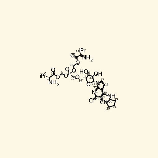 CC(C)[C@@H](N)C(=O)OCOP(=O)(COC[C@H]1O[C@@H](n2ccc3c(NC4CCCC4)c(C#N)c(Cl)nc32)[C@H](O)[C@@H]1O)OCOC(=O)[C@H](N)C(C)C